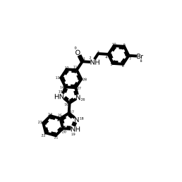 O=C(NCc1ccc(Br)cc1)c1ccc2[nH]c(-c3n[nH]c4ccccc34)nc2c1